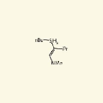 CCCC[SiH2]C(=CNC)C(C)C